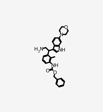 Cc1c(NC(=O)OCc2ccccc2)cccc1C(CN)c1c[nH]c2cc(N3CCOCC3)ccc12